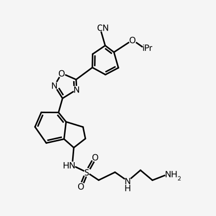 CC(C)Oc1ccc(-c2nc(-c3cccc4c3CCC4NS(=O)(=O)CCNCCN)no2)cc1C#N